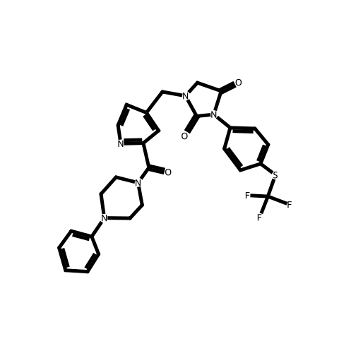 O=C(c1cc(CN2CC(=O)N(c3ccc(SC(F)(F)F)cc3)C2=O)ccn1)N1CCN(c2ccccc2)CC1